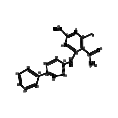 CSc1nc(C)c(C(N)=O)c(Nc2ccc(-c3ccccc3)nc2)n1